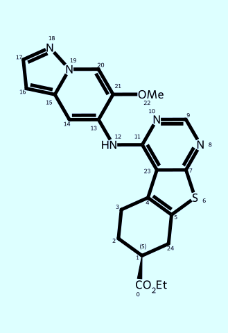 CCOC(=O)[C@H]1CCc2c(sc3ncnc(Nc4cc5ccnn5cc4OC)c23)C1